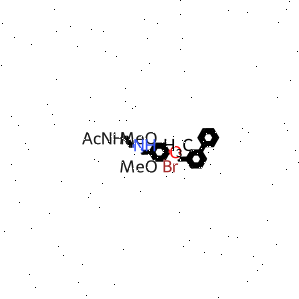 COc1cc(OCc2cccc(-c3ccccc3)c2C)c(Br)c(OC)c1CNCCNC(C)=O